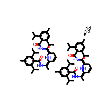 CC(NC(=O)c1c(C(C)C)cc(C)cc1C(C)C)=C1C=CCC(=C(C)NC(=O)c2c(C(C)C)cc(C)cc2C(C)C)N1.CC(NC(=O)c1c(C(C)C)cc(C)cc1C(C)C)=C1C=CCC(=C(C)NC(=O)c2c(C(C)C)cc(C)cc2C(C)C)N1.[CH3][Nd].[Nd]